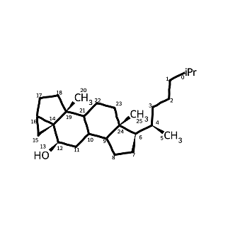 CC(C)CCC[C@@H](C)[C@H]1CCC2C3C[C@@H](O)[C@]45CC4CC[C@]5(C)C3CC[C@@]21C